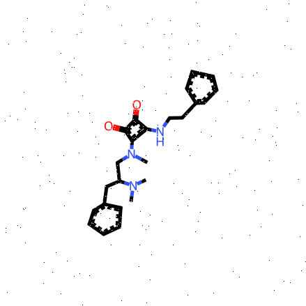 CN(CC(Cc1ccccc1)N(C)C)c1c(NCCc2ccccc2)c(=O)c1=O